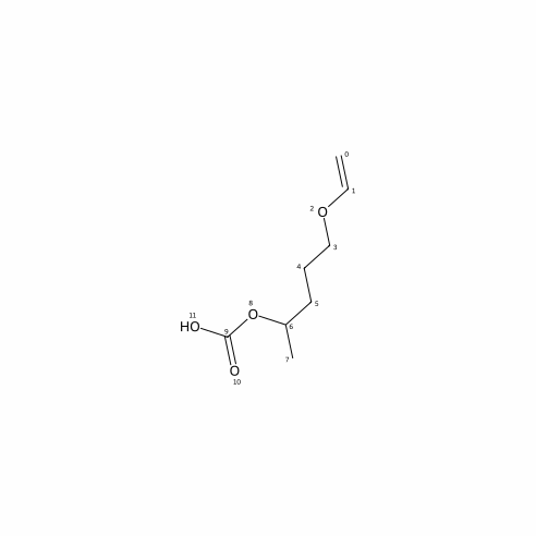 C=COCCCC(C)OC(=O)O